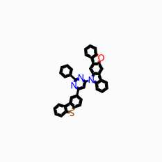 c1ccc(-c2nc(-c3ccc4sc5ccccc5c4c3)cc(-n3c4ccccc4c4cc5oc6ccccc6c5cc43)n2)cc1